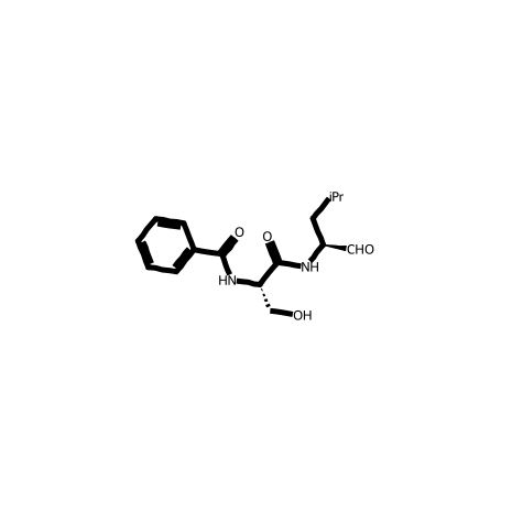 CC(C)C[C@@H](C=O)NC(=O)[C@H](CO)NC(=O)c1ccccc1